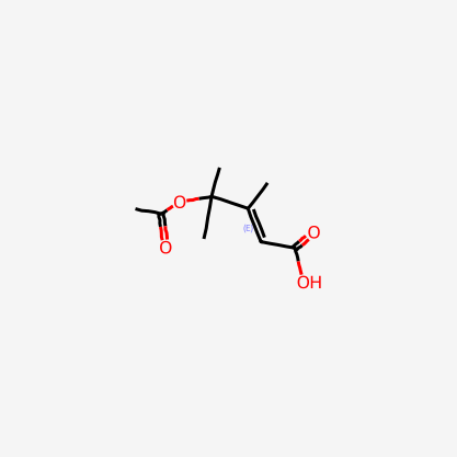 CC(=O)OC(C)(C)/C(C)=C/C(=O)O